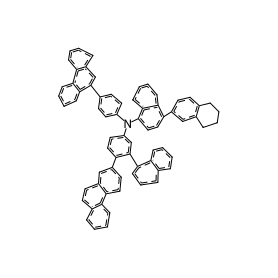 c1ccc2c(-c3cc(N(c4ccc(-c5cc6ccccc6c6ccccc56)cc4)c4ccc(-c5ccc6c(c5)CCCC6)c5ccccc45)ccc3-c3ccc4c(ccc5ccccc54)c3)cccc2c1